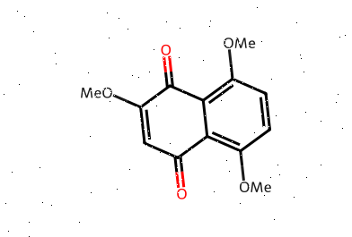 COC1=CC(=O)c2c(OC)ccc(OC)c2C1=O